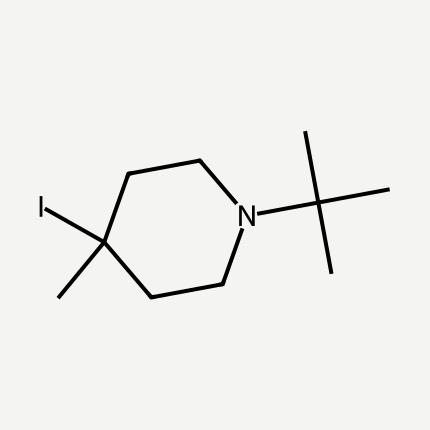 CC1(I)CCN(C(C)(C)C)CC1